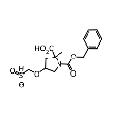 CC1(C(=O)O)CC(OC[SH](=O)=O)CN1C(=O)OCc1ccccc1